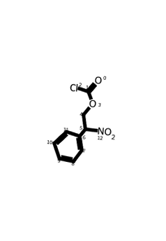 O=C(Cl)OCC(c1ccccc1)[N+](=O)[O-]